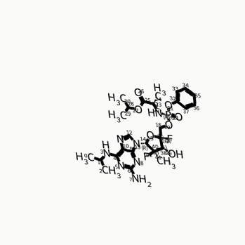 CC(C)Nc1nc(N)nc2c1ncn2[C@@H]1O[C@](F)(CO[P@](=O)(N[C@@H](C)C(=O)OC(C)C)Oc2ccccc2)[C@@H](O)[C@@]1(C)F